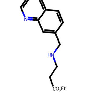 CCOC(=O)CCNCc1ccc2cccnc2c1